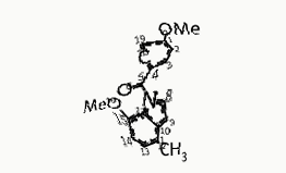 COc1ccc(C(=O)n2ccc3c(C)ccc(OC)c32)cc1